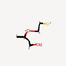 CC(CO)OCC[S]